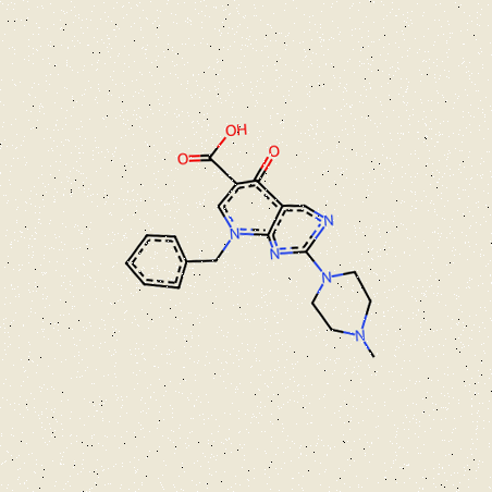 CN1CCN(c2ncc3c(=O)c(C(=O)O)cn(Cc4ccccc4)c3n2)CC1